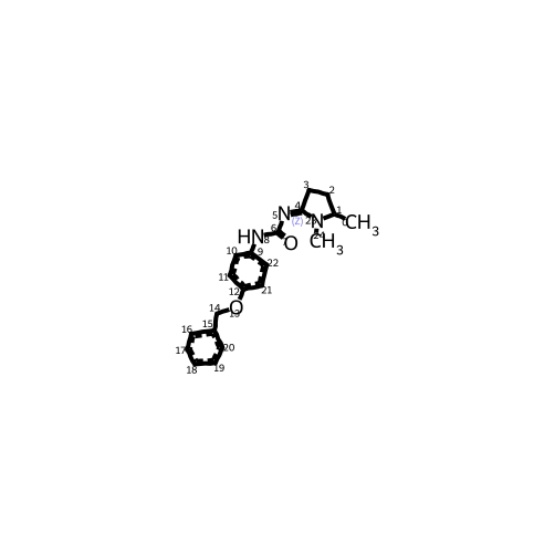 CC1CC/C(=N/C(=O)Nc2ccc(OCc3ccccc3)cc2)N1C